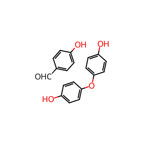 O=Cc1ccc(O)cc1.Oc1ccc(Oc2ccc(O)cc2)cc1